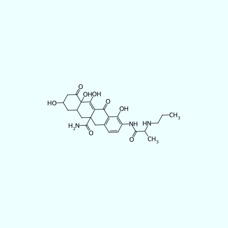 CCCNC(C)C(=O)Nc1ccc2c(c1O)C(=O)C1=C(O)C3(O)C(=O)CC(O)CC3CC1(C(N)=O)C2